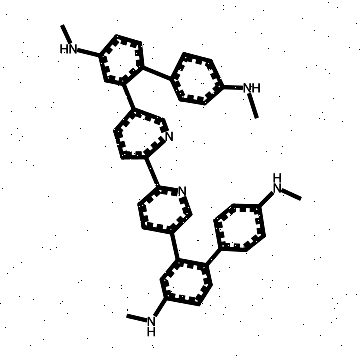 CNc1ccc(-c2ccc(NC)cc2-c2ccc(-c3ccc(-c4cc(NC)ccc4-c4ccc(NC)cc4)cn3)nc2)cc1